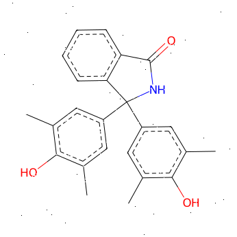 Cc1cc(C2(c3cc(C)c(O)c(C)c3)NC(=O)c3ccccc32)cc(C)c1O